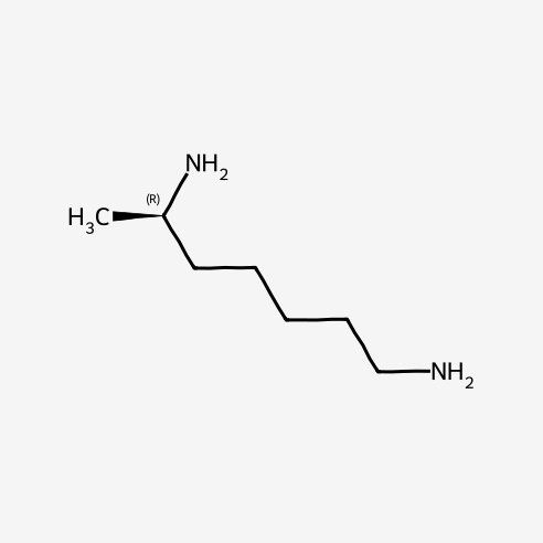 C[C@@H](N)CCCCCN